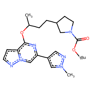 CC(CCC1CCN(C(=O)OC(C)(C)C)C1)Oc1nc(-c2cnn(C)c2)cn2nccc12